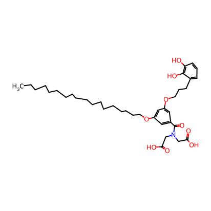 CCCCCCCCCCCCCCCCCCOc1cc(OCCCc2cccc(O)c2O)cc(C(=O)N(CC(=O)O)CC(=O)O)c1